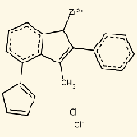 CC1=C(c2ccccc2)[CH]([Zr+2])c2cccc(C3=CC=CC3)c21.[Cl-].[Cl-]